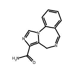 NC(=O)c1ncn2c1CN=Cc1ccccc1-2